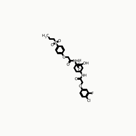 CCCS(=O)(=O)c1ccc(OCC(=O)NC23CCC(NC(=O)COc4ccc(Cl)c(F)c4)(CC2)C[C@@H]3O)cc1